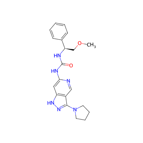 COC[C@@H](NC(=O)Nc1cc2[nH]nc(N3CCCC3)c2cn1)c1ccccc1